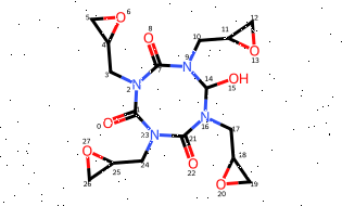 O=C1N(CC2CO2)C(=O)N(CC2CO2)C(O)N(CC2CO2)C(=O)N1CC1CO1